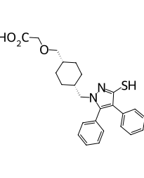 O=C(O)COC[C@H]1CC[C@@H](Cn2nc(S)c(-c3ccccc3)c2-c2ccccc2)CC1